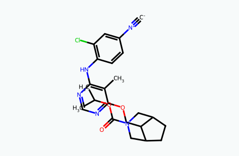 [C-]#[N+]c1ccc(Nc2ncnc(OCC3C4CCC3CN(C(=O)OC(C)C)C4)c2C)c(Cl)c1